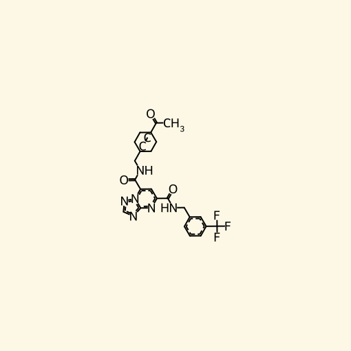 CC(=O)C12CCC(CNC(=O)c3cc(C(=O)NCc4cccc(C(F)(F)F)c4)nc4ncnn34)(CC1)CC2